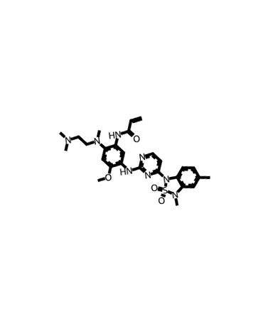 C=CC(=O)Nc1cc(Nc2nccc(N3c4ccc(C)cc4N(C)S3(=O)=O)n2)c(OC)cc1N(C)CCN(C)C